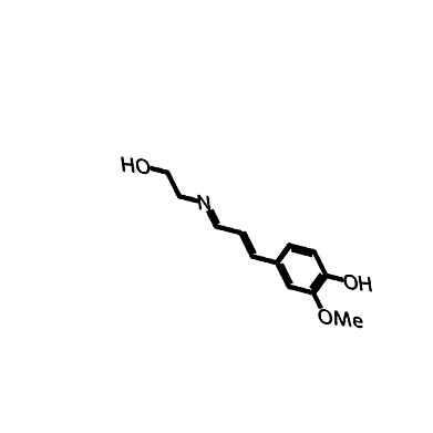 COc1cc(C=CC=NCCO)ccc1O